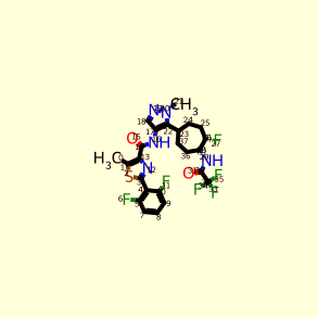 Cc1sc(-c2c(F)cccc2F)nc1C(=O)Nc1cnn(C)c1C1CC[C@H](F)[C@H](NC(=O)C(F)(F)F)CC1